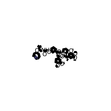 CC[C@H](C(=O)N1CCCC[C@H]1C(=O)O[C@H](CCc1ccc(OC)c(OC)c1)c1cccc(OCC(=O)NCC(OC2CC/C=C/CCC2)C(C)C)c1)c1cc(OC)c(OC)c(OC)c1